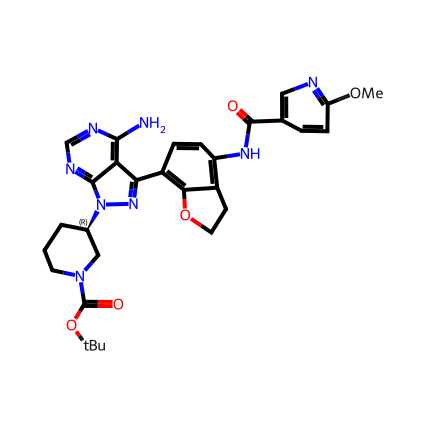 COc1ccc(C(=O)Nc2ccc(-c3nn([C@@H]4CCCN(C(=O)OC(C)(C)C)C4)c4ncnc(N)c34)c3c2CCO3)cn1